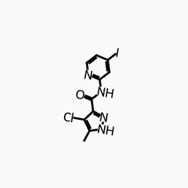 Cc1[nH]nc(C(=O)Nc2cc(I)ccn2)c1Cl